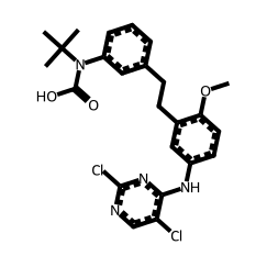 COc1ccc(Nc2nc(Cl)ncc2Cl)cc1CCc1cccc(N(C(=O)O)C(C)(C)C)c1